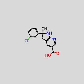 C[C@]1(c2cccc(Cl)c2)Cc2cc(C(=O)O)cnc2N1